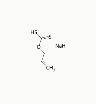 C=CCOC(=S)S.[NaH]